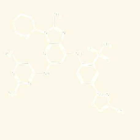 Cc1cc(Nc2cc(Nc3ccc(-c4nc(C)cs4)cc3S(C)(=O)=O)c3nc(C)n(C4CCCCO4)c3n2)nc(C)n1